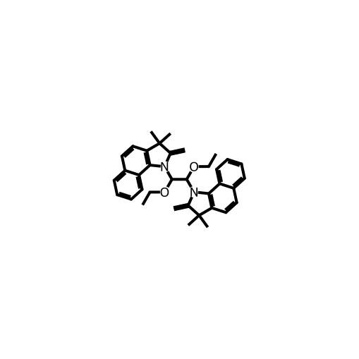 C=C1N(C(OCC)C(OCC)N2C(=C)C(C)(C)c3ccc4ccccc4c32)c2c(ccc3ccccc23)C1(C)C